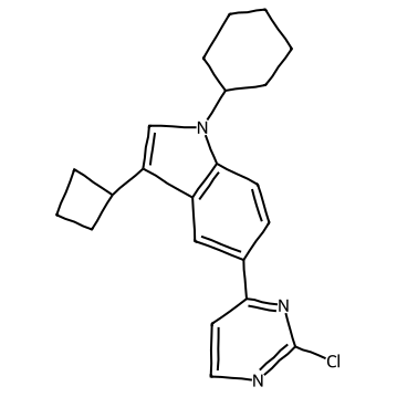 Clc1nccc(-c2ccc3c(c2)c(C2CCC2)cn3C2CCCCC2)n1